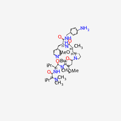 CC[C@H](C)[C@@H]([C@@H](CC(=O)N1CCC[C@H]1[C@H](OC)[C@@H](C)C(=O)N[C@@H](Cc1ccncc1)C(=O)NCc1ccc(N)cc1)OC)N(C)C(=O)[C@@H](NC(=O)[C@H](C(C)C)N(C)C)C(C)C